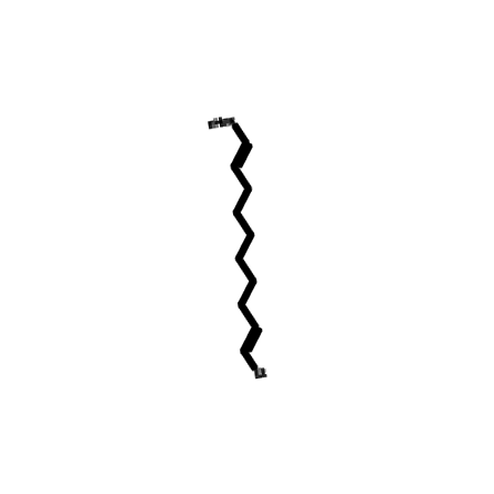 CCC=CCCCCCCC=CCCCCCC